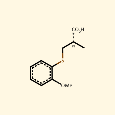 COc1ccccc1SC[C@@H](C)C(=O)O